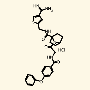 Cl.N=C(N)c1csc(CNC(=O)C23CCC(CC2)N3C(=O)CNC(=O)c2ccc(Oc3ccccc3)cc2)c1